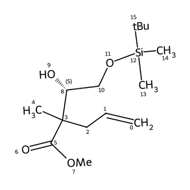 C=CCC(C)(C(=O)OC)[C@H](O)CO[Si](C)(C)C(C)(C)C